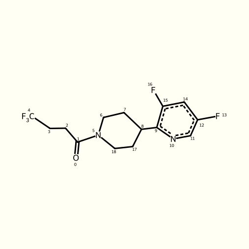 O=C(CCC(F)(F)F)N1CCC(c2ncc(F)cc2F)CC1